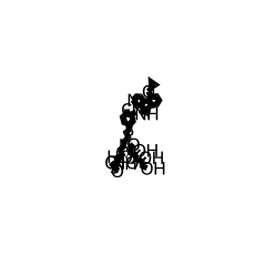 CS(=O)(=O)NCCCN(CCCSc1ccc(Cl)c(CNC2(c3cnccc3-c3ccccc3OC3CC3)CC2)c1)C(=O)[C@@H](O)[C@@H](O)[C@H](O)[C@@H](O)CO